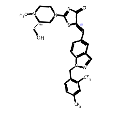 CN1CCN(C2=NC(=O)/C(=C/c3ccc4c(cnn4Cc4ccc(C(F)(F)F)cc4C(F)(F)F)c3)S2)C[C@@H]1CO